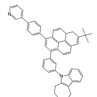 CC(C)(C)C1=Cc2ccc3c(-c4cccc(-n5c6c(c7ccccc75)CC=CCC6)c4)cc(-c4ccc(-c5cccnc5)cc4)c4c3c2C(C=C4)C1